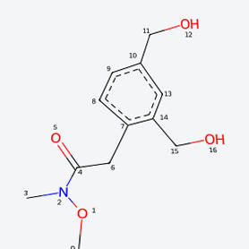 CON(C)C(=O)Cc1ccc(CO)cc1CO